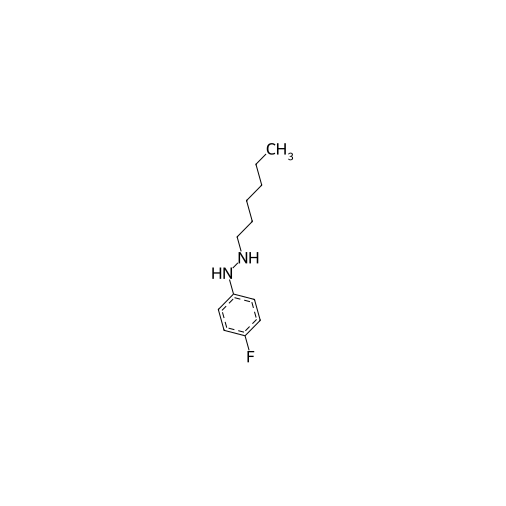 CCCCCCNNc1ccc(F)cc1